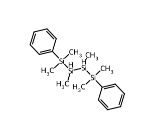 C[SiH]([SiH](C)[Si](C)(C)c1ccccc1)[Si](C)(C)c1ccccc1